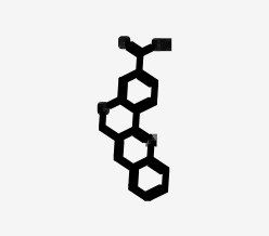 O=C(O)c1ccc2c(c1)OCc1cc3ccccc3nc1-2